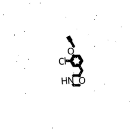 C#CCOc1ccc(CC2CNCCO2)cc1Cl